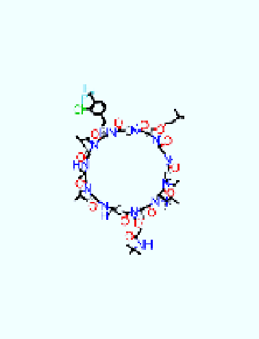 CC[C@H](C)[C@@H]1NC(=O)[C@H](COCC(=O)NC(C)(C)C)N(C)C(=O)C[C@@H](C)NC(=O)[C@H](CC(C)C)N(C)C(=O)C(C)(C)NC(=O)[C@H](CC(C)C)N(C)C(=O)[C@H](CCc2ccc(C(F)(F)F)c(Cl)c2)NC(=O)CN(C)C(=O)[C@H](COCCC(C)C)N(C)C(=O)CN(C)C(=O)CN(CC)C1=O